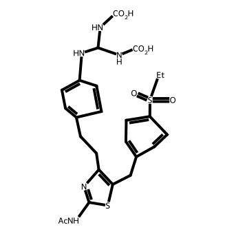 CCS(=O)(=O)c1ccc(Cc2sc(NC(C)=O)nc2CCc2ccc(NC(NC(=O)O)NC(=O)O)cc2)cc1